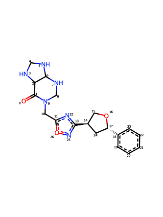 O=C1C2NCNC2NCN1Cc1nc([C@H]2CO[C@H](c3ccccc3)C2)no1